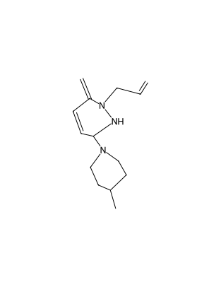 C=CCN1NC(N2CCC(C)CC2)C=CC1=C